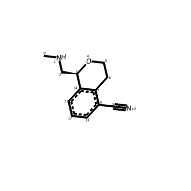 CNC[C@H]1OCCc2c(C#N)cccc21